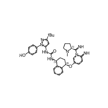 CN1CCC[C@H]1C(=N)n1cc(O[C@@H]2CC[C@H](NC(=O)Nc3cc(C(C)(C)C)nn3-c3ccc(O)cc3)c3ccccc32)ccc1=N